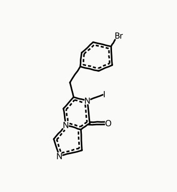 O=c1c2cncn2cc(Cc2ccc(Br)cc2)n1I